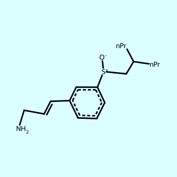 CCCC(CCC)C[S+]([O-])c1cccc(/C=C/CN)c1